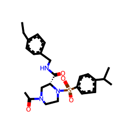 CCc1ccc(CNC(=O)[C@H]2CN(C(C)=O)CCN2S(=O)(=O)c2ccc(C(C)C)cc2)cc1